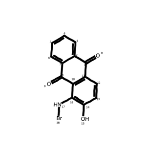 O=C1c2ccccc2C(=O)c2c1ccc(O)c2NBr